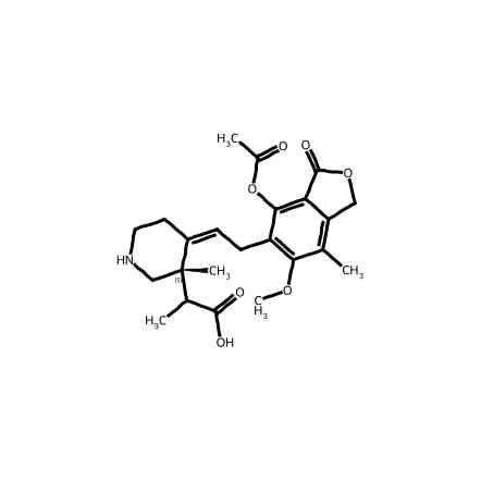 COc1c(C)c2c(c(OC(C)=O)c1CC=C1CCNC[C@@]1(C)C(C)C(=O)O)C(=O)OC2